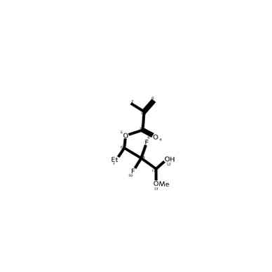 C=C(C)C(=O)OC(CC)C(F)(F)C(O)OC